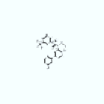 Cc1cccc(-c2ccc3c(c2)N(S(=O)(=O)c2cccc(C(F)(F)F)c2)CCO3)c1